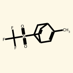 CC1=CC2CCC1C=C2S(=O)(=O)C(F)(F)F